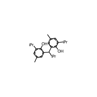 Cc1cc(C(C)C)c(O)c(C(c2cc(C)cc(C(C)C)c2O)C(C)C)c1